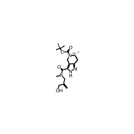 C=C(CO)CN(C)C(=O)c1[nH]nc2c1CN(C(=O)OC(C)(C)C)[C@H](C)C2